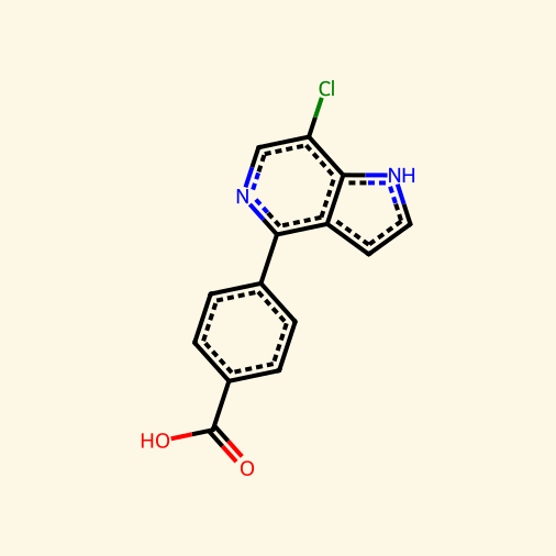 O=C(O)c1ccc(-c2ncc(Cl)c3[nH]ccc23)cc1